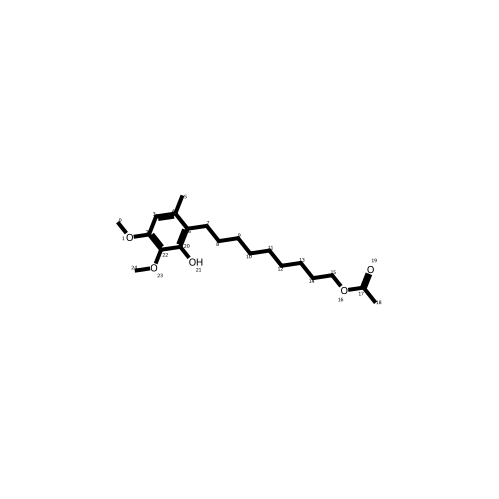 COc1cc(C)c(CCCCCCCCCOC(C)=O)c(O)c1OC